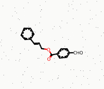 O=Cc1ccc(C(=O)OC/C=C/c2ccccc2)cc1